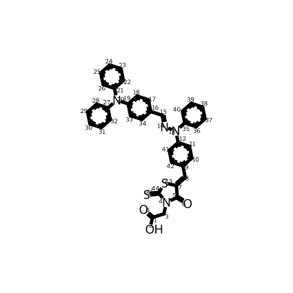 O=C(O)CN1C(=O)C(=Cc2ccc(N(N=Cc3ccc(N(c4ccccc4)c4ccccc4)cc3)c3ccccc3)cc2)SC1=S